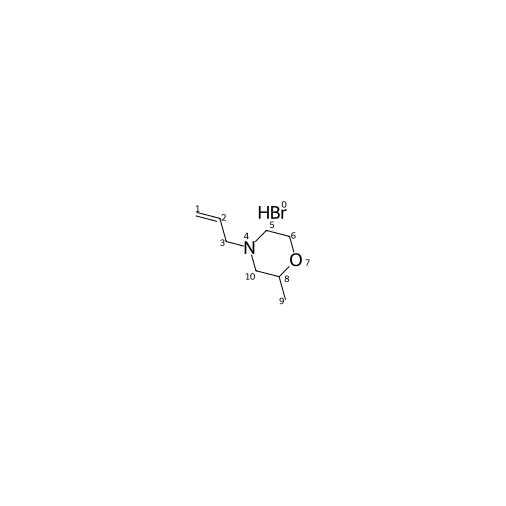 Br.C=CCN1CCOC(C)C1